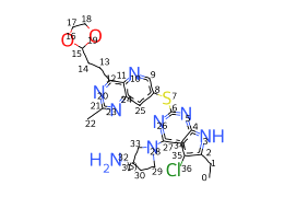 CCc1[nH]c2nc(Sc3cnc4c(CCC5OCCO5)nc(C)nc4c3)nc(N3CC[C@H](N)C3)c2c1Cl